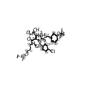 CN(C=O)C1=C(C(=O)N(C)CCCOPI)N(Cc2ccc(Cl)cc2)C(SCc2cccc(OC(F)(F)F)c2)N1